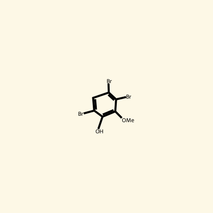 COc1c(O)c(Br)cc(Br)c1Br